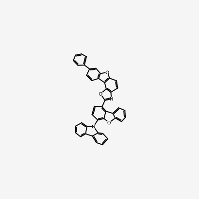 c1ccc(-c2ccc3c(c2)oc2ccc4nc(-c5ccc(-n6c7ccccc7c7ccccc76)c6oc7ccccc7c56)oc4c23)cc1